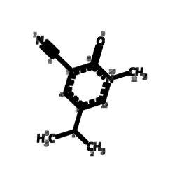 CC(C)c1cc(C#N)c(=O)n(C)c1